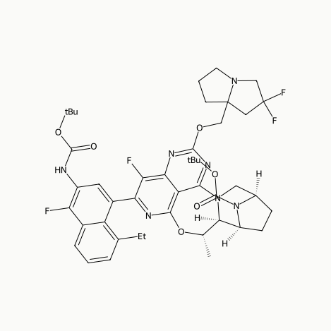 CCc1cccc2c(F)c(NC(=O)OC(C)(C)C)cc(-c3nc4c5c(nc(OCC67CCCN6CC(F)(F)C7)nc5c3F)N3C[C@H]5CC[C@@H]([C@H]3[C@H](C)O4)N5C(=O)OC(C)(C)C)c12